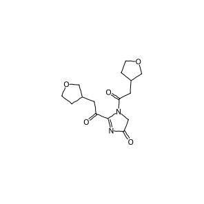 O=C1CN(C(=O)CC2CCOC2)C(C(=O)CC2CCOC2)=N1